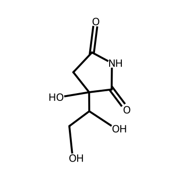 O=C1CC(O)(C(O)CO)C(=O)N1